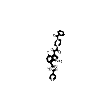 O=C(C(=O)N1CCN(C(=O)c2ccccc2)CC1)c1c[nH]c2c(-c3nnc(-c4ccncc4)[nH]3)ccc(F)c12